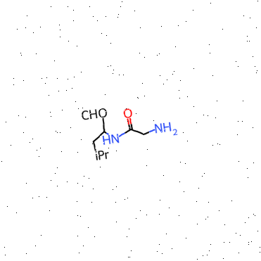 CC(C)CC(C=O)NC(=O)CN